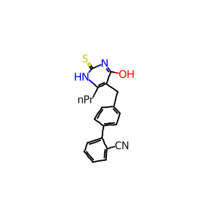 CCCc1[nH]c(=S)nc(O)c1Cc1ccc(-c2ccccc2C#N)cc1